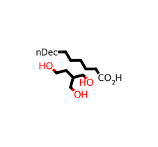 CCCCCCCCCCCCCCCC(=O)O.OCCC(CO)CO